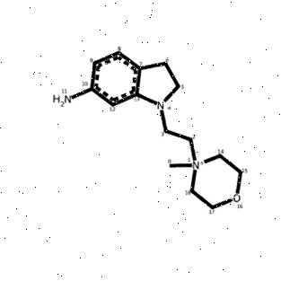 C[N+]1(CCN2CCc3ccc(N)cc32)CCOCC1